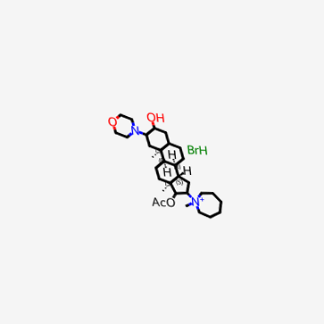 Br.CC(=O)OC1C([N+]2(C)CCCCCC2)C[C@H]2[C@@H]3CCC4CC(O)C(N5CCOCC5)C[C@]4(C)[C@@H]3CC[C@]12C